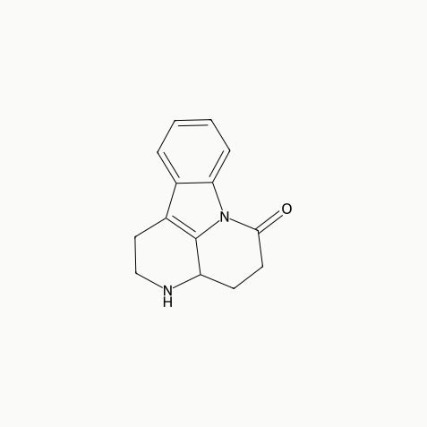 O=C1CCC2NCCc3c2n1c1ccccc31